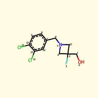 OCC1(F)CN(Cc2ccc(Cl)c(Cl)c2)C1